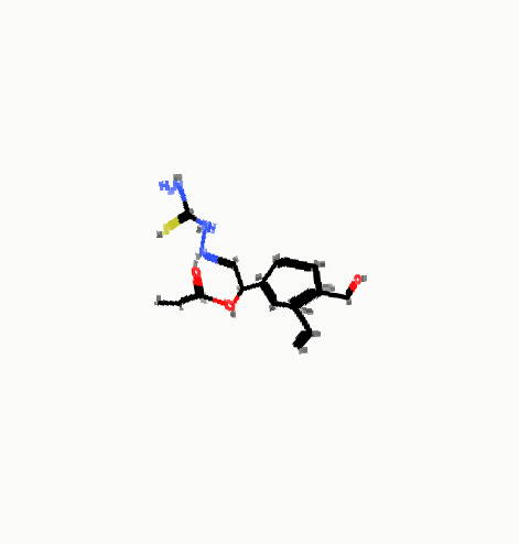 [CH2]CC(=O)OC(C=NNC(N)=S)c1ccc(C=O)c(C=C)c1